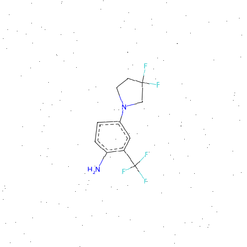 Nc1ccc(N2CCC(F)(F)C2)cc1C(F)(F)F